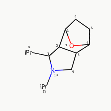 CC(C)C1C2C3CCC(O3)C2CN1C(C)C